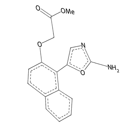 COC(=O)COc1ccc2ccccc2c1-c1cnc(N)o1